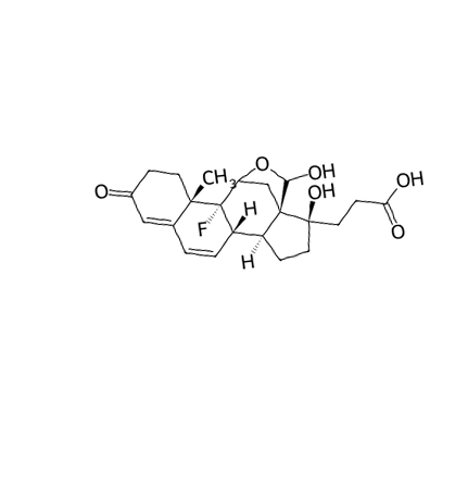 C[C@]12CCC(=O)C=C1C=C[C@H]1[C@@H]3CC[C@@](O)(CCC(=O)O)[C@@]34CC(OC4O)[C@@]12F